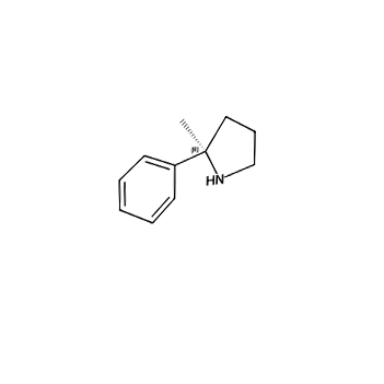 C[C@]1(c2ccccc2)CCCN1